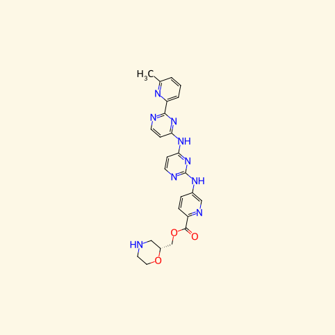 Cc1cccc(-c2nccc(Nc3ccnc(Nc4ccc(C(=O)OC[C@H]5CNCCO5)nc4)n3)n2)n1